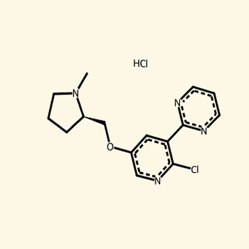 CN1CCC[C@@H]1COc1cnc(Cl)c(-c2ncccn2)c1.Cl